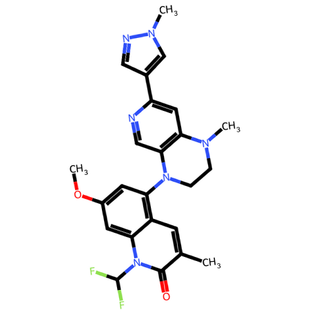 COc1cc(N2CCN(C)c3cc(-c4cnn(C)c4)ncc32)c2cc(C)c(=O)n(C(F)F)c2c1